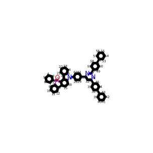 O=P1(c2ccccc2)c2ccccc2-c2ccc3c(c21)c1ccccc1n3-c1ccc(-c2cc(-c3ccc(-c4ccccc4)cc3)nc(-c3ccc(-c4ccccc4)cc3)n2)cc1